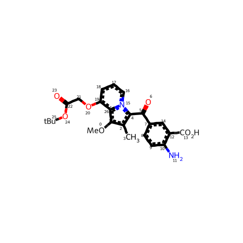 COc1c(C)c(C(=O)c2ccc(N)c(C(=O)O)c2)n2cccc(OCC(=O)OC(C)(C)C)c12